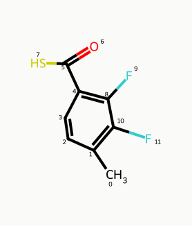 Cc1ccc(C(=O)S)c(F)c1F